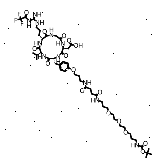 CC(C)[C@@H]1NC(=O)[C@@H](Cc2ccc(OCCCNC(=O)CCC(=O)NCCCOCCOCCOCCCNC(=O)OC(C)(C)C)cc2)NC(=O)[C@H](CC(=O)O)NC(=O)CNC(=O)[C@H](CCCNC(=N)NC(=O)C(F)(F)F)NC1=O